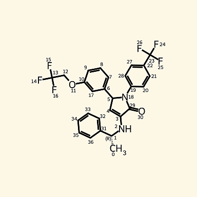 C[C@@H](NC1=CC(c2cccc(OCC(F)(F)F)c2)N(c2ccc(C(F)(F)F)cc2)C1=O)c1ccccc1